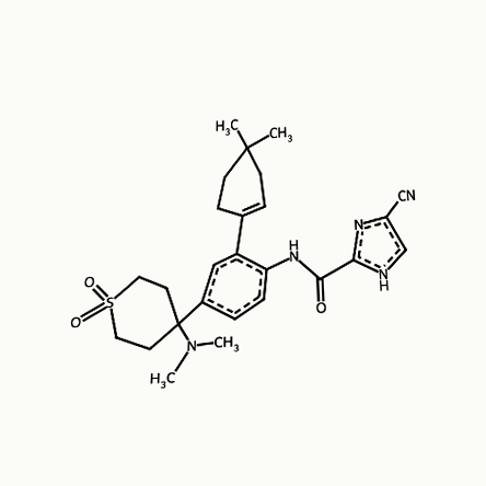 CN(C)C1(c2ccc(NC(=O)c3nc(C#N)c[nH]3)c(C3=CCC(C)(C)CC3)c2)CCS(=O)(=O)CC1